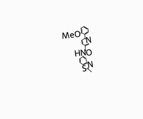 COc1ccccc1-c1ccc(C(=O)Nc2ccc3sc(C)nc3c2)cn1